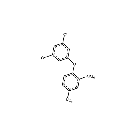 COc1cc([N+](=O)[O-])ccc1Oc1cc(Cl)cc(Cl)c1